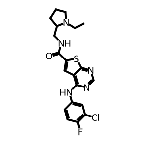 CCN1CCCC1CNC(=O)c1cc2c(Nc3ccc(F)c(Cl)c3)ncnc2s1